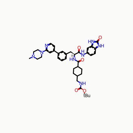 CN1CCN(c2cc(-c3cccc(C[C@H](NC(=O)C4CCC(CNC(=O)OC(C)(C)C)CC4)C(=O)Nc4ccc5[nH]c(=O)[nH]c5c4)c3)ccn2)CC1